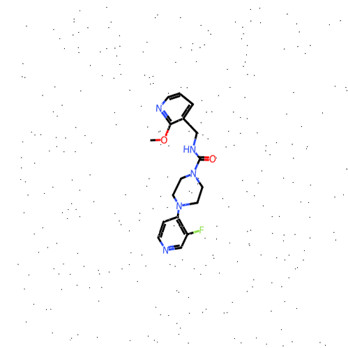 COc1ncccc1CNC(=O)N1CCN(c2ccncc2F)CC1